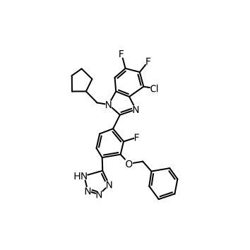 Fc1cc2c(nc(-c3ccc(-c4nnn[nH]4)c(OCc4ccccc4)c3F)n2CC2CCCC2)c(Cl)c1F